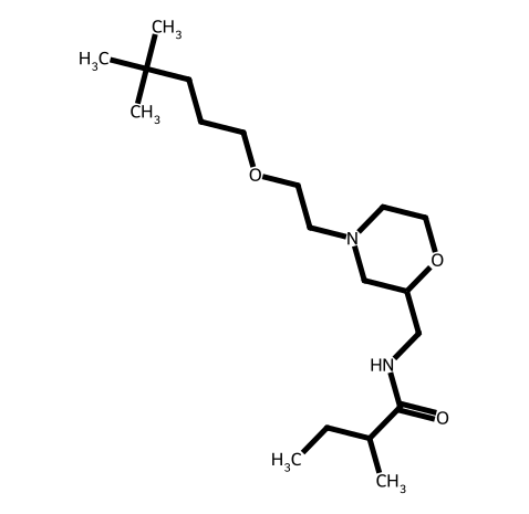 CCC(C)C(=O)NCC1CN(CCOCCCC(C)(C)C)CCO1